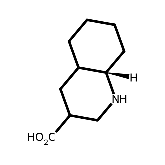 O=C(O)C1CN[C@H]2CCCCC2C1